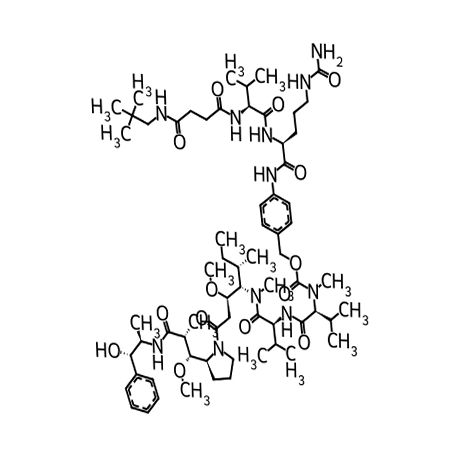 CC[C@H](C)[C@@H]([C@@H](CC(=O)N1CCC[C@H]1[C@H](OC)[C@@H](C)C(=O)N[C@H](C)[C@@H](O)c1ccccc1)OC)N(C)C(=O)[C@@H](NC(=O)[C@H](C(C)C)N(C)C(=O)OCc1ccc(NC(=O)[C@H](CCCNC(N)=O)NC(=O)[C@@H](NC(=O)CCC(=O)NCC(C)(C)C)C(C)C)cc1)C(C)C